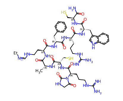 CC/N=C\NCC[C@H](NC(=O)[C@@H](C)NC(=O)[C@H](CS)NC(=O)[C@@H](CCCNC(=N)N)N1C(=O)CNC1=O)C(=O)N[C@H](Cc1ccccc1)C(=O)N[C@@H](CCCNC(=N)N)C(=O)N[C@@H](Cc1c[nH]c2ccccc12)C(=O)N[C@@H](CS)C(N)=O